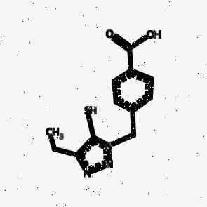 CCc1nnn(Cc2ccc(C(=O)O)cc2)c1S